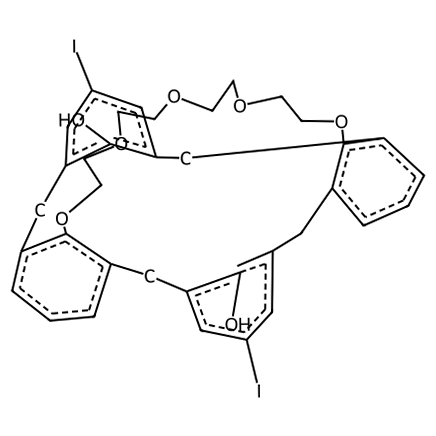 Oc1c2cc(I)cc1Cc1cccc3c1OCCOCCOCCOCCOc1c(cccc1Cc1cc(I)cc(c1O)C3)C2